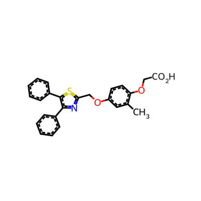 Cc1cc(OCc2nc(-c3ccccc3)c(-c3ccccc3)s2)ccc1OCC(=O)O